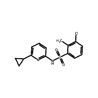 Cc1c(Cl)cccc1S(=O)(=O)Nc1cccc(C2CC2)n1